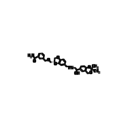 CC1(C)OCc2cc([C@@H](O)CNCCc3ccc4c(c3)O[C@H](COCc3cccc(C(N)=O)c3)CO4)ccc2O1